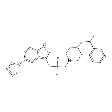 CC(CN1CCN(CC(F)(F)Cc2c[nH]c3ccc(-n4cnnc4)cc23)CC1)c1cccnc1